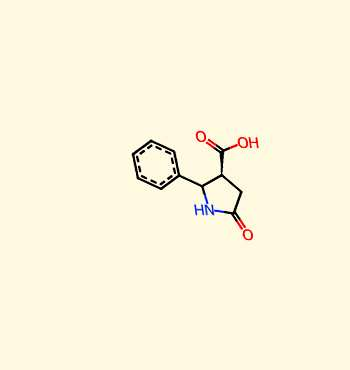 O=C1C[C@H](C(=O)O)C(c2ccccc2)N1